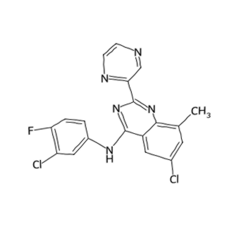 Cc1cc(Cl)cc2c(Nc3ccc(F)c(Cl)c3)nc(-c3cnccn3)nc12